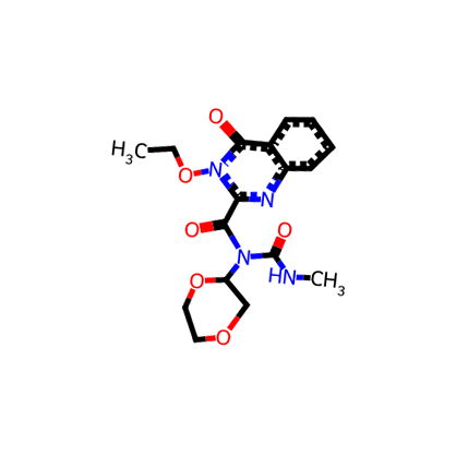 CCOn1c(C(=O)N(C(=O)NC)C2COCCO2)nc2ccccc2c1=O